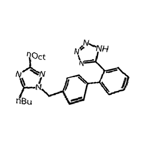 CCCCCCCCc1nc(CCCC)n(Cc2ccc(-c3ccccc3-c3nnn[nH]3)cc2)n1